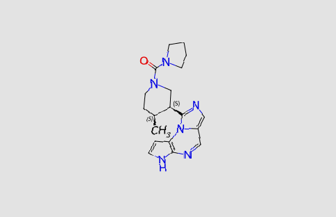 C[C@H]1CCN(C(=O)N2CCCC2)C[C@H]1c1ncc2cnc3[nH]ccc3n12